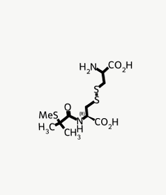 CSC(C)(C)C(=O)N[C@@H](CSSCC(N)C(=O)O)C(=O)O